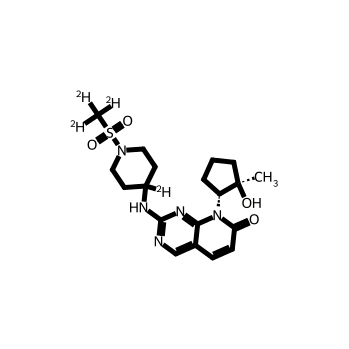 [2H]C1(Nc2ncc3ccc(=O)n([C@@H]4CCC[C@@]4(C)O)c3n2)CCN(S(=O)(=O)C([2H])([2H])[2H])CC1